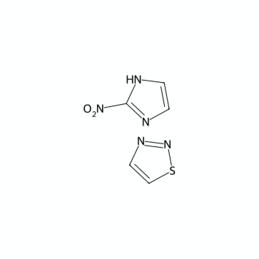 O=[N+]([O-])c1ncc[nH]1.c1csnn1